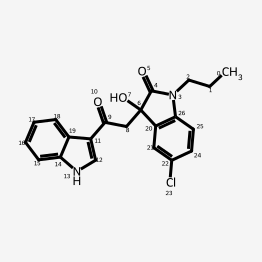 CCCN1C(=O)C(O)(CC(=O)c2c[nH]c3ccccc23)c2cc(Cl)ccc21